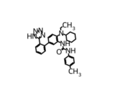 CCN(c1ccc(-c2ccccc2-c2nnn[nH]2)cc1NC(=O)Nc1ccc(C)cc1)C1CCCCC1